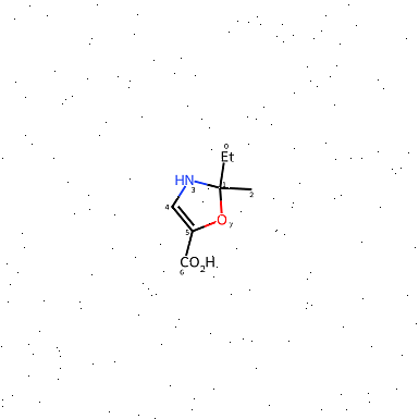 CCC1(C)NC=C(C(=O)O)O1